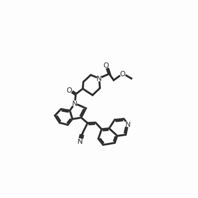 COCC(=O)N1CCC(C(=O)n2cc(C(C#N)=Cc3cccc4cnccc34)c3ccccc32)CC1